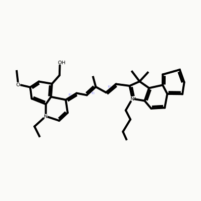 CCCC[N+]1=C(/C=C/C(C)=C/C=C2\C=CN(CC)c3cc(OC)cc(CO)c32)C(C)(C)c2c1ccc1ccccc21